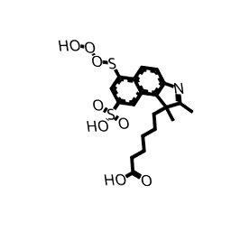 CC1=Nc2ccc3c(SOOO)cc(S(=O)(=O)O)cc3c2C1(C)CCCCCC(=O)O